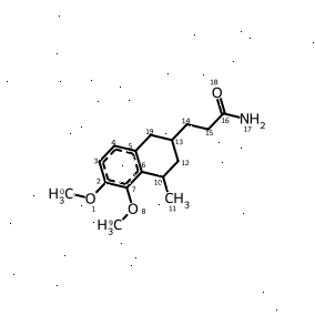 COc1ccc2c(c1OC)C(C)CC(CCC(N)=O)C2